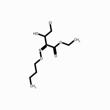 CCCCON=C(C(=O)OCC)C(O)CCl